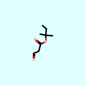 CCC(C)(C)OC(=O)C[C]=O